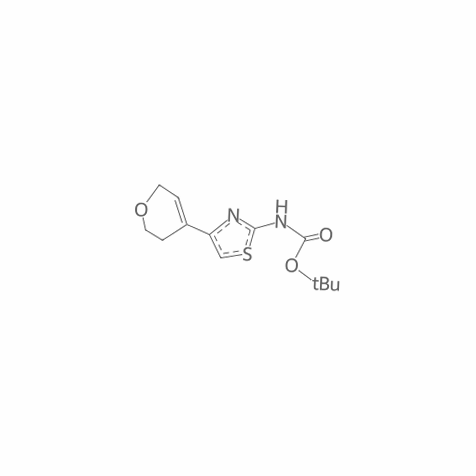 CC(C)(C)OC(=O)Nc1nc(C2=CCOCC2)cs1